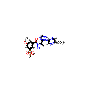 CC(NC(=O)c1cc(OC(F)(F)F)cc(S(C)(=O)=O)c1)c1ncnn1-c1cnc(C(=O)O)cn1